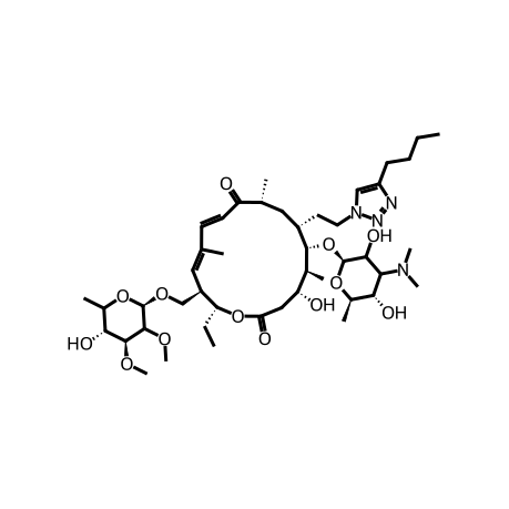 CCCCc1cn(CC[C@H]2C[C@@H](C)C(=O)/C=C/C(C)=C/[C@H](CO[C@@H]3OC(C)[C@@H](O)[C@H](OC)C3OC)[C@@H](CC)OC(=O)C[C@@H](O)[C@H](C)[C@H]2O[C@@H]2O[C@H](C)[C@@H](O)C(N(C)C)C2O)nn1